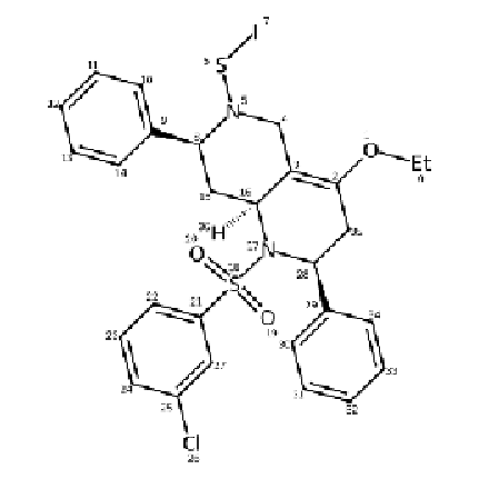 CCOC1=C2CN(SI)[C@H](c3ccccc3)C[C@@H]2N(S(=O)(=O)c2cccc(Cl)c2)[C@H](c2ccccc2)C1